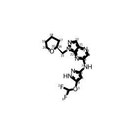 FC(F)Oc1cc(Nc2cnc3cnn(C[C@@H]4CCCCO4)c3n2)n[nH]1